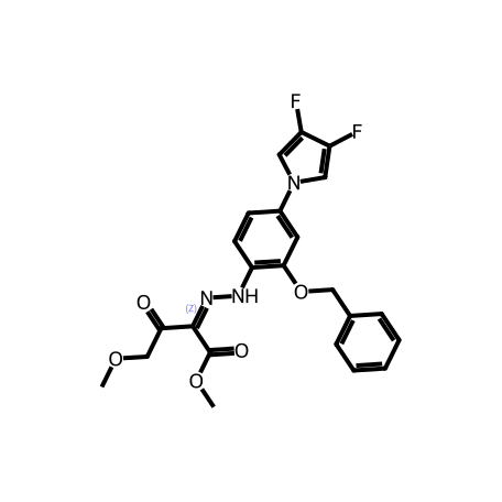 COCC(=O)/C(=N/Nc1ccc(-n2cc(F)c(F)c2)cc1OCc1ccccc1)C(=O)OC